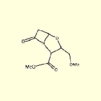 COCC1OC2CC(=O)N2C1C(=O)OC